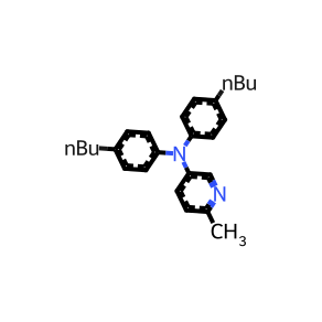 CCCCc1ccc(N(c2ccc(CCCC)cc2)c2ccc(C)nc2)cc1